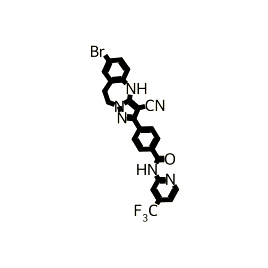 N#Cc1c(-c2ccc(C(=O)Nc3cc(C(F)(F)F)ccn3)cc2)nn2c1Nc1ccc(Br)cc1CC2